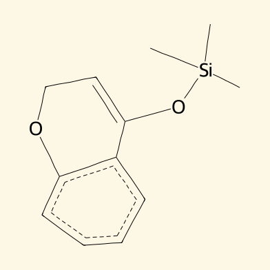 C[Si](C)(C)OC1=CCOc2ccccc21